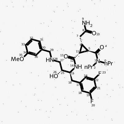 CCCN(CCC)C(=O)[C@@H]1[C@@H](CC(N)=O)[C@H]1C(=O)N[C@@H](Cc1cc(F)cc(F)c1)[C@H](O)CNCc1cccc(OC)c1